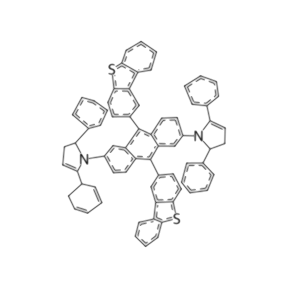 C1=CCC(C2=CCC(c3ccccc3)N2c2ccc3c(-c4ccc5sc6ccccc6c5c4)c4cc(N5C(c6ccccc6)=CCC5c5ccccc5)ccc4c(-c4ccc5sc6ccccc6c5c4)c3c2)C=C1